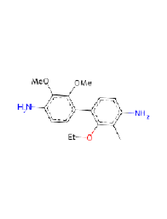 CCOc1c(-c2ccc(N)c(OC)c2OC)ccc(N)c1C